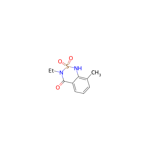 CCN1C(=O)c2cccc(C)c2NS1(=O)=O